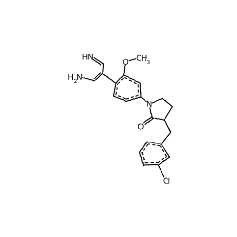 COc1cc(N2CCC(Cc3cccc(Cl)c3)C2=O)ccc1/C(C=N)=C/N